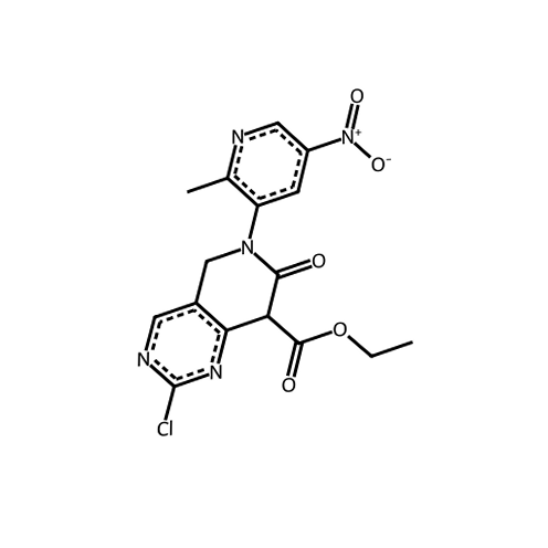 CCOC(=O)C1C(=O)N(c2cc([N+](=O)[O-])cnc2C)Cc2cnc(Cl)nc21